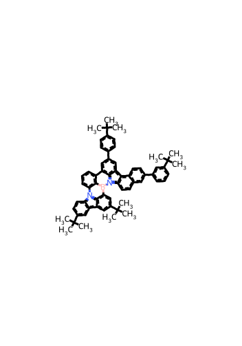 CC(C)(C)c1ccc(-c2cc3c4c(c2)c2c5ccc(-c6cccc(C(C)(C)C)c6)cc5ccc2n4B2c4c-3cccc4-n3c4ccc(C(C)(C)C)cc4c4cc(C(C)(C)C)cc2c43)cc1